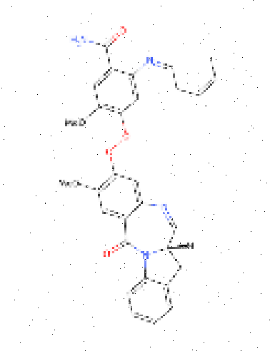 C/C=C\C/C=N\c1cc(OOc2cc3c(cc2OC)C(=O)N2c4ccccc4C[C@H]2C=N3)c(OC)cc1C(N)=O